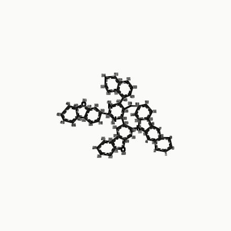 c1ccc2cc3c(cc2c1)c1ccc2cc1n3-c1cc3oc4ccccc4c3cc1-c1nc(-c3ccc4c(c3)oc3ccccc34)nc(-c3cccc4ccccc34)c1C2